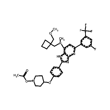 COCC1(CN(C)c2cc(-c3cc(F)cc(C(F)(F)F)c3)nc3nc(-c4ccc(OC5CCN(OC(C)=O)CC5)cc4)[nH]c23)CCC1